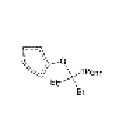 CCCCCC(CC)(CC)Oc1[c]cccc1